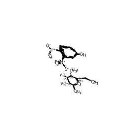 O=[N+]([O-])c1ccc(O)cc1[N+](=O)[O-].OC[C@H]1OC(O)[C@H](O)[C@@H](O)[C@H]1O